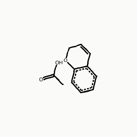 C1=Cc2ccccc2OC1.CC(=O)O